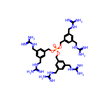 N=C(N)NCc1cc(CNC(=N)N)cc(COP(=O)(OCc2cc(CNC(=N)N)cc(CNC(=N)N)c2)OCc2cc(CNC(=N)N)cc(CNC(=N)N)c2)c1